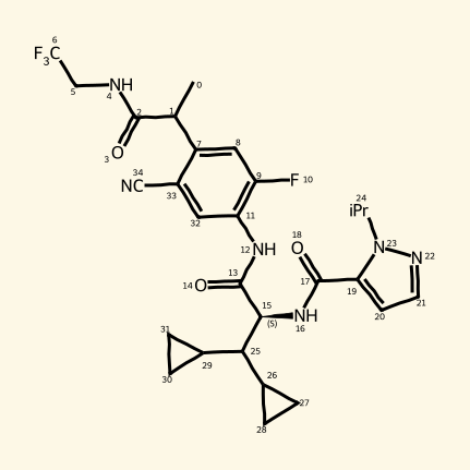 CC(C(=O)NCC(F)(F)F)c1cc(F)c(NC(=O)[C@@H](NC(=O)c2ccnn2C(C)C)C(C2CC2)C2CC2)cc1C#N